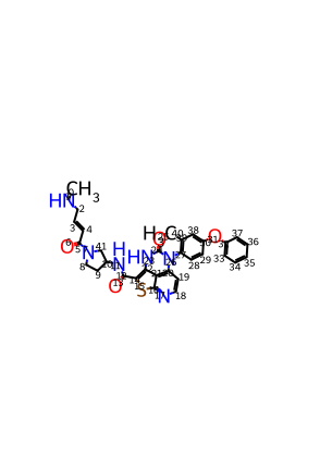 CNCC=CC(=O)N1CCC(NC(=O)c2sc3nccc4c3c2NC(=O)N4c2ccc(Oc3ccccc3)cc2C)C1